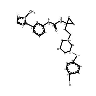 Cn1nnnc1-c1cccc(NC(=O)NC2(CCN3CCC[C@@H](Cc4ccc(F)cc4)C3)CC2)c1